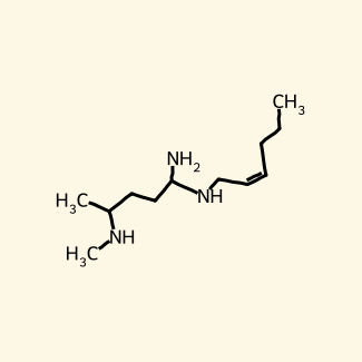 CCC/C=C\CNC(N)CCC(C)NC